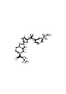 CC(C)(C)OC(=O)N1CCC2CN(c3ncc(C(=O)c4cccc(S(C)(=O)=O)c4)s3)CC2C1